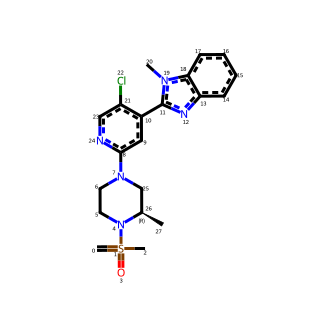 C=S(C)(=O)N1CCN(c2cc(-c3nc4ccccc4n3C)c(Cl)cn2)C[C@H]1C